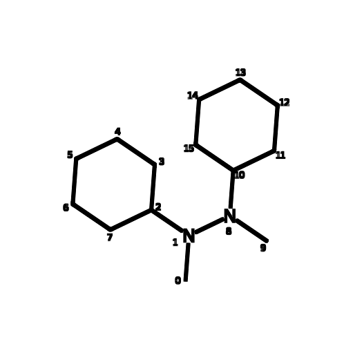 CN(C1CCCCC1)N(C)C1CCCCC1